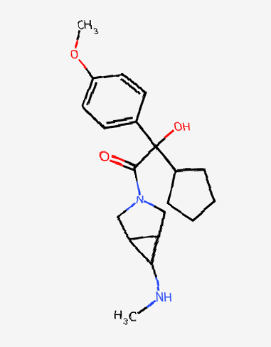 CNC1C2CN(C(=O)C(O)(c3ccc(OC)cc3)C3CCCC3)CC21